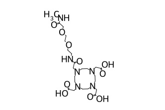 CNC(=O)COCCOCCNC(=O)CN1CCN(CC(=O)O)CCN(CC(=O)O)CCN(CC(=O)O)CC1